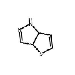 C1=CC2NN=CC2S1